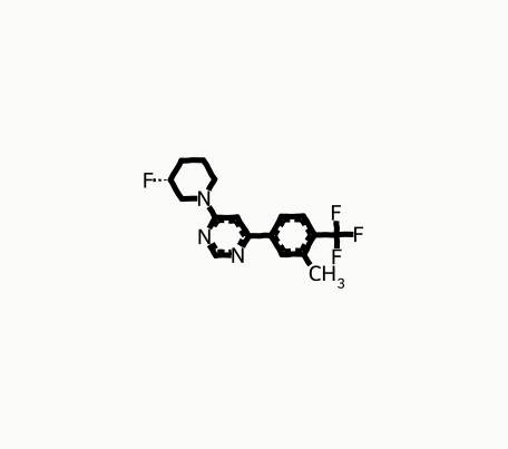 Cc1cc(-c2cc(N3CCC[C@@H](F)C3)ncn2)ccc1C(F)(F)F